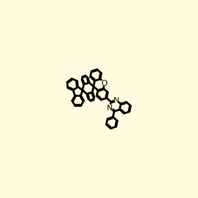 c1ccc(-c2nc(-c3ccc4c(c3)Oc3ccccc3C43c4ccccc4C4(c5ccccc5-c5ccccc54)c4ccccc43)nc3ccccc23)cc1